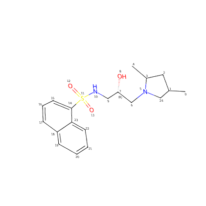 CC1CC(C)N(C[C@@H](O)CNS(=O)(=O)c2cccc3ccccc23)C1